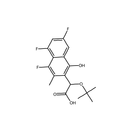 Cc1c(C(OC(C)(C)C)C(=O)O)c(O)c2cc(F)cc(F)c2c1F